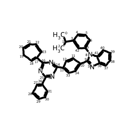 CC(C)c1cccc(-n2c(-c3ccc(-c4nc(C5=CCC=CC=C5)nc(-c5ccccc5)n4)cc3)nc3ccccc32)c1